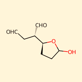 O=CC[C@H](C=O)[C@@H]1CCC(O)O1